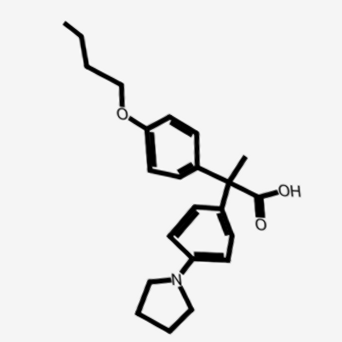 CCCCOc1ccc(C(C)(C(=O)O)c2ccc(N3CCCC3)cc2)cc1